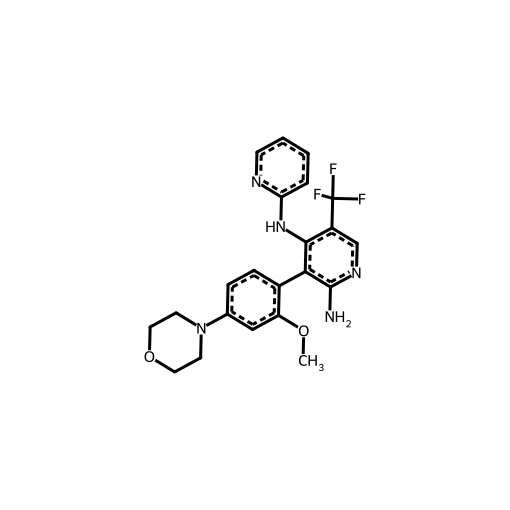 COc1cc(N2CCOCC2)ccc1-c1c(N)ncc(C(F)(F)F)c1Nc1ccccn1